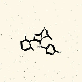 Cc1csc2nc(-c3c(F)cccc3F)c(Nc3ccc(F)cc3)n12